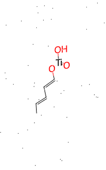 CC=CC=C[O][Ti](=[O])[OH]